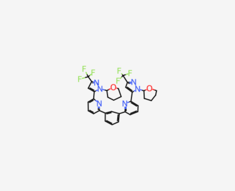 FC(F)(F)c1cc(-c2cccc(-c3cccc(-c4cccc(-c5cc(C(F)(F)F)nn5C5CCCCO5)n4)c3)n2)n(C2CCCCO2)n1